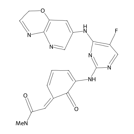 CNC(=O)C=C1C=CC=C(Nc2ncc(F)c(Nc3cnc4c(c3)OCC=N4)n2)C1=O